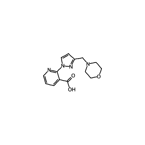 O=C(O)c1cccnc1-n1ccc(CN2CCOCC2)n1